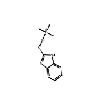 C[PH](C)(C)[Au][S]c1nc2ccccc2[nH]1